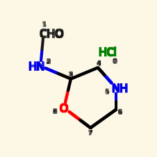 Cl.O=CNC1CNCCO1